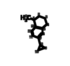 CC1CCCc2cc(C3CC3)ccc21